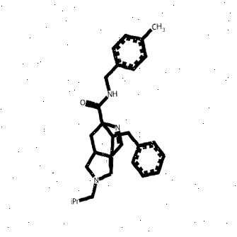 Cc1ccc(CNC(=O)C23CC4CN(CC(C)C)C(C4C=N2)C3Cc2ccccc2)cc1